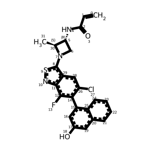 C=CC(=O)N[C@@H]1CN(c2snc3c(F)c(-c4cc(O)cc5ccccc45)c(Cl)cc23)[C@H]1C